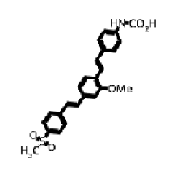 COc1cc(C=Cc2ccc(S(C)(=O)=O)cc2)ccc1C=Cc1ccc(NC(=O)O)cc1